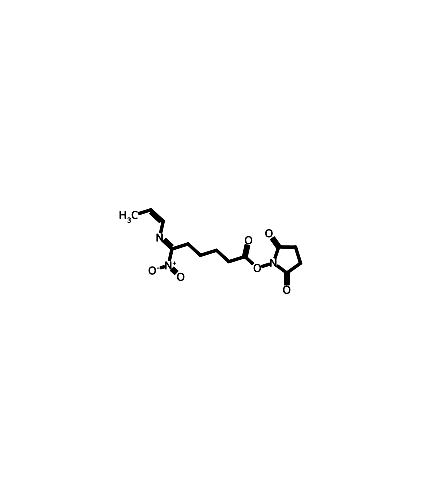 C/C=C\N=C(/CCCCC(=O)ON1C(=O)CCC1=O)[N+](=O)[O-]